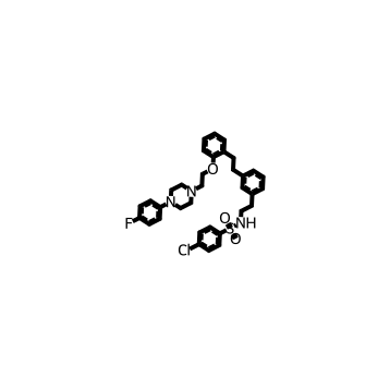 O=S(=O)(NCCc1cccc(CCc2ccccc2OCCN2CCN(c3ccc(F)cc3)CC2)c1)c1ccc(Cl)cc1